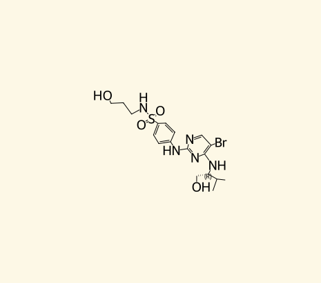 CC(C)[C@H](CO)Nc1nc(Nc2ccc(S(=O)(=O)NCCCO)cc2)ncc1Br